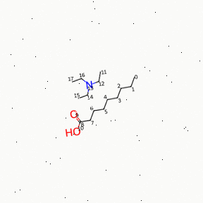 CCCCCCCCC(=O)O.CCN(CC)CC